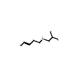 CC=CCCOCC(C)C